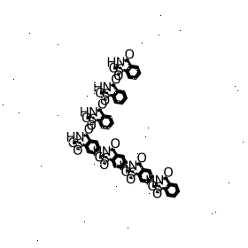 O=C1NS(=O)(=O)c2ccccc21.O=C1NS(=O)(=O)c2ccccc21.O=C1NS(=O)(=O)c2ccccc21.O=C1NS(=O)(=O)c2ccccc21.O=C1NS(=O)(=O)c2ccccc21.O=C1NS(=O)(=O)c2ccccc21.O=C1NS(=O)(=O)c2ccccc21